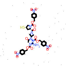 CC(=O)N(C1CN(C(=O)[C@@H]2C[C@H](S)CN2C(=O)OCc2ccc([N+](=O)[O-])cc2)C1)N(C(=O)OCc1ccc([N+](=O)[O-])cc1)C(N)=NC(=O)OCc1ccc([N+](=O)[O-])cc1